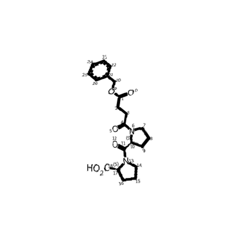 O=C(CCC(=O)N1CCC[C@H]1C(=O)N1CCC[C@H]1C(=O)O)OCc1ccccc1